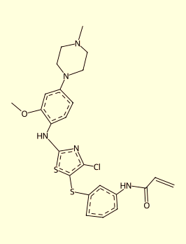 C=CC(=O)Nc1cccc(Sc2sc(Nc3ccc(N4CCN(C)CC4)cc3OC)nc2Cl)c1